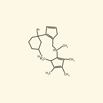 CC1=C(C)C(C)C([SiH](C)CC2=C(C3(C(C)C)CCCC(C)C3)C=CC2)=C1C